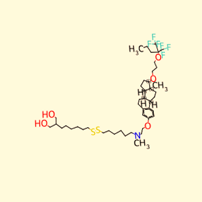 CCCC(OCCCO[C@H]1CC[C@H]2[C@@H]3CCc4cc(OCCN(C)CCCCCCSSCCCCCCC(CO)CO)ccc4[C@H]3CC[C@]12C)(C(F)(F)F)C(F)(F)F